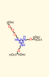 CCCCCCCCCCCCOCCOCCOCCCNc1nc(NCCCOCC(CCCCCCCC)CCCCCCCCCC)nc(NCCCOCC(CCCCCCCC)CCCCCCCCCC)n1